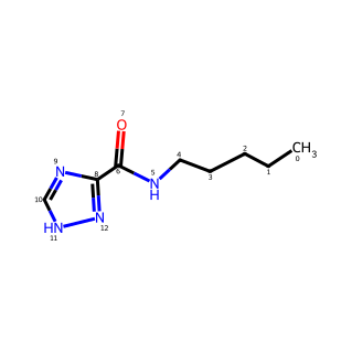 CCCCCNC(=O)c1nc[nH]n1